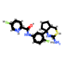 NC1=NC2(c3cc(NC(=O)c4ccc(F)cn4)ccc3F)CCCC2CS1